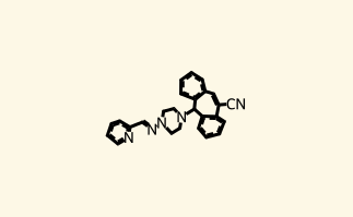 N#CC1=Cc2ccccc2C(N2CCN(N=Cc3ccccn3)CC2)c2ccccc21